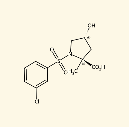 C[C@@]1(C(=O)O)C[C@@H](O)CN1S(=O)(=O)c1cccc(Cl)c1